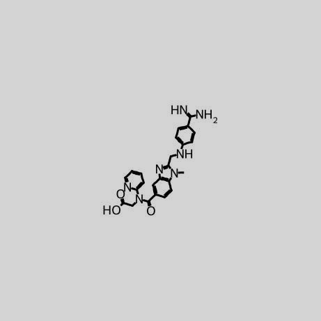 Cn1c(CNc2ccc(C(=N)N)cc2)nc2cc(C(=O)N(CC(=O)O)c3ccccn3)ccc21